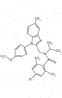 COc1ccc(-n2c(CN(C(=O)c3c(C)cc(Cl)cc3C)C(C)C)nc3cc(C)ccc32)cc1